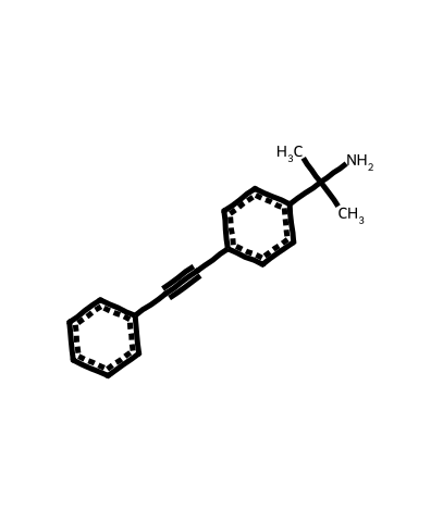 CC(C)(N)c1ccc(C#Cc2ccccc2)cc1